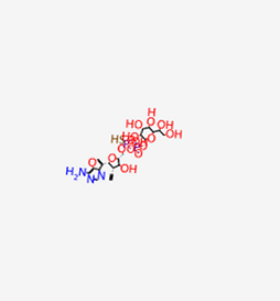 C#C[C@H]1[C@H](O)[C@@H](COP(=O)(S)OP(=O)(O)OC2OC([C@@H](O)CO)C(O)C(O)C2O)O[C@H]1c1coc2c(N)ncnc12